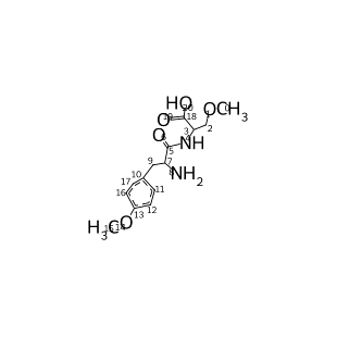 COCC(NC(=O)C(N)Cc1ccc(OC)cc1)C(=O)O